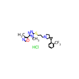 Cc1ncoc1-c1nnc(SCCCN2CCC3(CC3c3ccccc3C(F)(F)F)C2)n1C.Cl